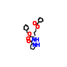 O=C(OCCCC[C@H](NC(=O)[C@@H]1CCCCN1)C(=O)OCc1ccccc1)c1ccccc1